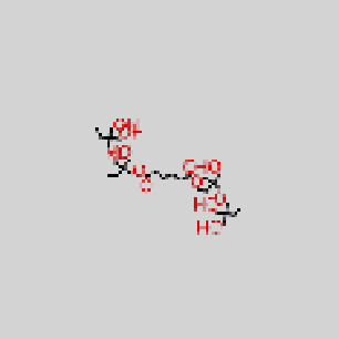 CCC(CO)(CO)COCC(CC)(CO)COC(=O)CCCCC(=O)OCC(CC)(CO)COCC(CC)(CO)CO